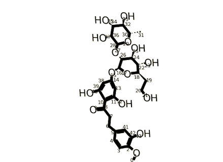 COc1ccc(CCC(=O)c2c(O)cc(O[C@@H]3O[C@H](CCO)[C@@H](O)[C@H](O)[C@H]3OC3O[C@@H](C)[C@H](O)[C@@H](O)[C@H]3O)cc2O)cc1O